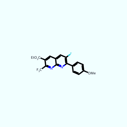 CCOC(=O)c1cc2cc(F)c(-c3ccc(OC)cc3)nc2nc1C(F)(F)F